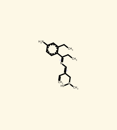 C=C/C(=C\N=C(/CC)c1ccc(N)cc1CC)CN(C)S